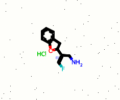 Cl.NC/C(=C\F)C1Cc2ccccc2O1